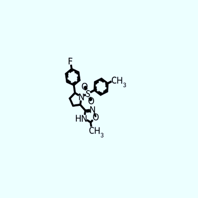 Cc1ccc(S(=O)(=O)N2C(C3=NOC(C)N3)CCC2c2ccc(F)cc2)cc1